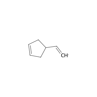 [CH]=CC1CC=CC1